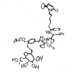 CC(=O)OCc1ccc(NC(=O)[C@H](C)NC(=O)[C@@H](NC(=O)CCCCCN2C(=O)C=CC2=O)C(C)C)cc1CC[C@@H]1O[C@H](C(=O)O)[C@@H](O)[C@H](O)[C@H]1O